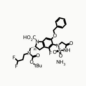 CC(C)(C)OC(=O)N(CCC(F)F)C[C@H]1Cc2c(cc(OCc3ccccc3)c(N3CC(=O)NS3(=O)=O)c2F)N1C(=O)O.N